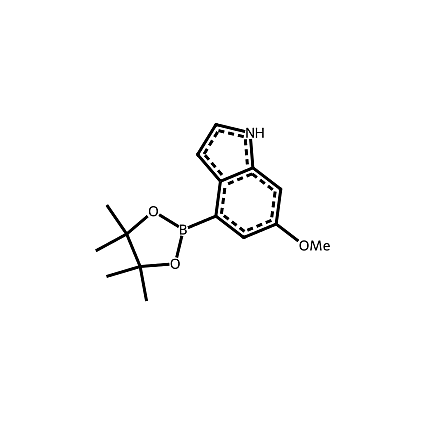 COc1cc(B2OC(C)(C)C(C)(C)O2)c2cc[nH]c2c1